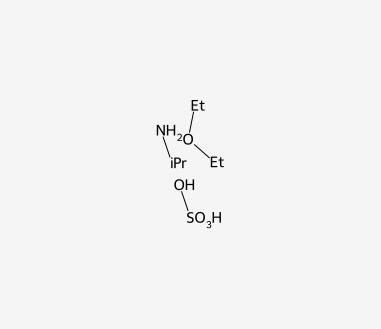 CC(C)N.CCOCC.O=S(=O)(O)O